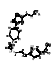 C[S+]([O-])c1ccc(OCC[C@@H]2C[C@@H]2C2CCN(c3noc(CCC(F)(F)F)n3)CC2)nc1